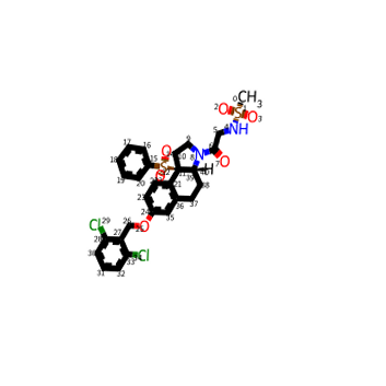 CS(=O)(=O)NCC(=O)N1CC[C@@]2(S(=O)(=O)c3ccccc3)c3ccc(OCc4c(Cl)cccc4Cl)cc3CC[C@@H]12